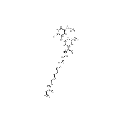 C=CC(=O)NCCOCCOCCOCCNC(=O)[C@H]1C[C@H](Cc2cc(OC)ccc2F)CN(C)C1